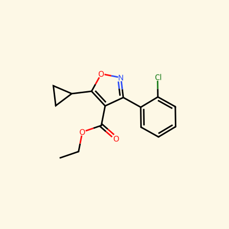 CCOC(=O)c1c(-c2ccccc2Cl)noc1C1CC1